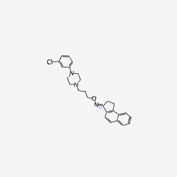 Clc1cccc(N2CCN(CCCO/N=C3\CCc4c3ccc3ccccc43)CC2)c1